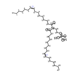 CCCCCC/C=C\CCCCCCCC(=O)N(CCOP(=O)(O)O)C(=O)CCCCCCC/C=C\CCCCCC